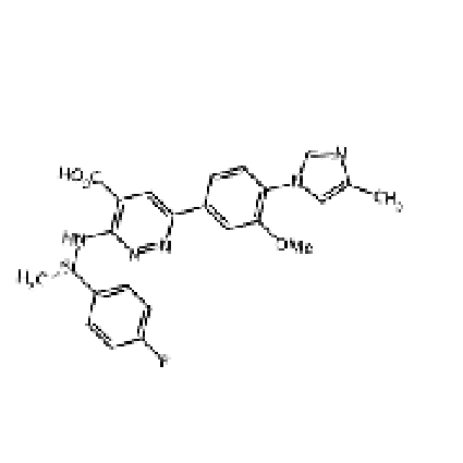 COc1cc(-c2cc(C(=O)O)c(N[C@@H](C)c3ccc(F)cc3)nn2)ccc1-n1cnc(C)c1